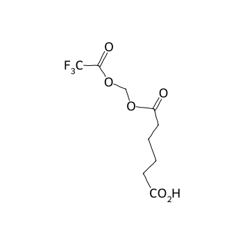 O=C(O)CCCCC(=O)OCOC(=O)C(F)(F)F